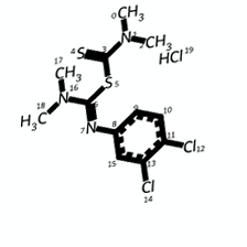 CN(C)C(=S)SC(=Nc1ccc(Cl)c(Cl)c1)N(C)C.Cl